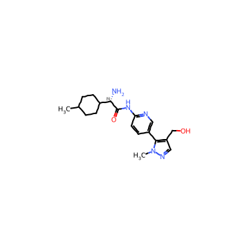 CC1CCC([C@H](N)C(=O)Nc2ccc(-c3c(CO)cnn3C)cn2)CC1